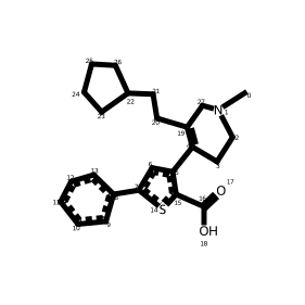 CN1CCC(c2cc(-c3ccccc3)sc2C(=O)O)=C(CCC2CCCC2)C1